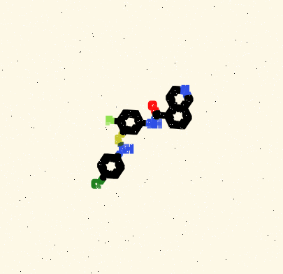 O=C(Nc1ccc(F)c(SNc2ccc(Cl)cc2)c1)c1cccc2cnccc12